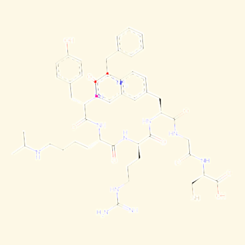 CC(C)NCCCC[C@H](NC(=O)[C@H](Cc1ccc(O)cc1)NC(=O)[C@@H](N)Cc1ccccc1)C(=O)N[C@H](CCCNC(=N)N)C(=O)N[C@@H](Cc1ccc2ccccc2c1)C(=O)NCC(=O)N[C@H](CS)C(=O)O